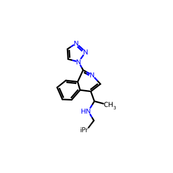 CC(C)CNC(C)c1cnc(-n2ccnn2)c2ccccc12